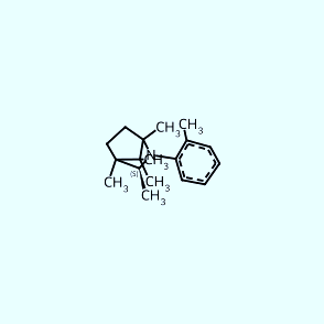 Cc1ccccc1N1[C@@H](C)C2(C)CCC1(C)C2(C)C